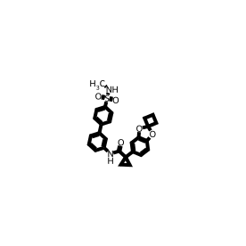 CNS(=O)(=O)c1ccc(-c2cccc(NC(=O)C3(c4ccc5c(c4)OC4(CCC4)O5)CC3)c2)cc1